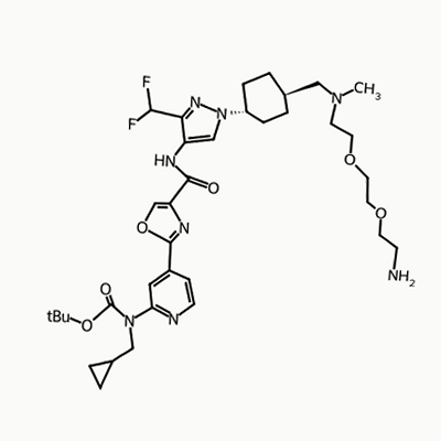 CN(CCOCCOCCN)C[C@H]1CC[C@H](n2cc(NC(=O)c3coc(-c4ccnc(N(CC5CC5)C(=O)OC(C)(C)C)c4)n3)c(C(F)F)n2)CC1